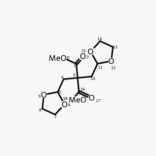 COC(=O)C(CC1OCCO1)(CC1OCCO1)C(=O)OC